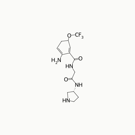 NC1=CCC(OC(F)(F)F)C=C1C(=O)NCC(=O)N[C@@H]1CCNC1